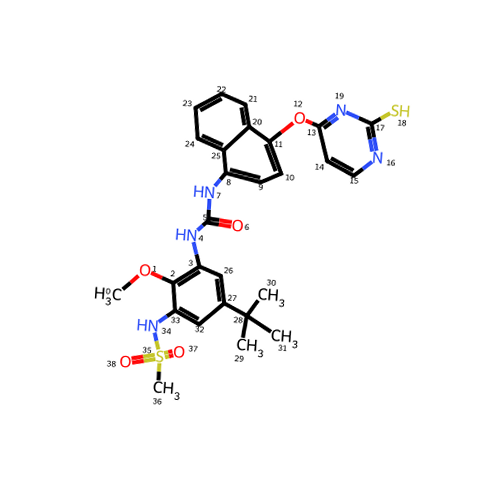 COc1c(NC(=O)Nc2ccc(Oc3ccnc(S)n3)c3ccccc23)cc(C(C)(C)C)cc1NS(C)(=O)=O